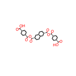 O=C(O)c1ccc(C(=O)OC(=O)c2ccc3cc(C(=O)OC(=O)c4ccc(C(=O)O)cc4)ccc3c2)cc1